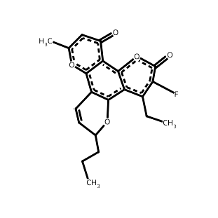 CCCC1C=[C]c2c(c3c(CC)c(F)c(=O)oc3c3c(=O)cc(C)oc23)O1